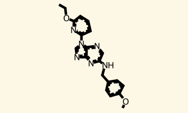 CCOc1cccc(-n2cnc3nc(NCc4ccc(OC)cc4)cnc32)n1